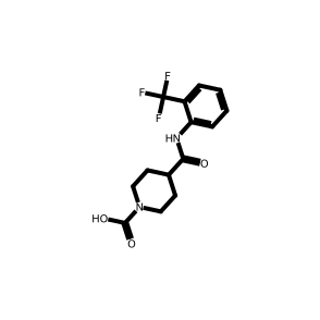 O=C(Nc1ccccc1C(F)(F)F)C1CCN(C(=O)O)CC1